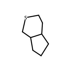 C1CC2CCSCC2C1